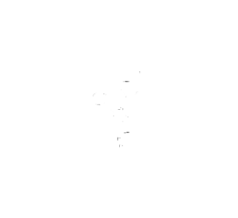 COc1ccc(-n2nc(C(=O)NC(C)(C)C)cc2-c2cccn2C)cn1